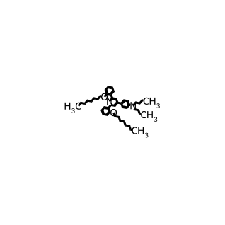 CCCCCCCCOc1ccccc1-c1cc(-c2ccc(N(CCCC)CCCC)cc2)cc(-c2ccccc2OCCCCCCCC)n1